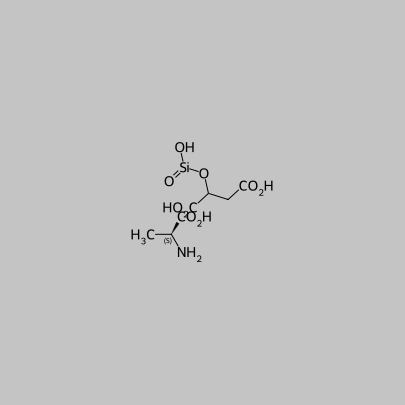 C[C@H](N)C(=O)O.O=C(O)CC(O[Si](=O)O)C(=O)O